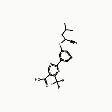 CC(C)CC(C#N)Oc1cccc(-c2ncc(C(=O)O)c(C(F)(F)F)n2)c1